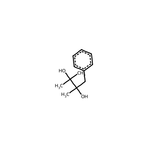 CC(C)(O)C(C)(O)Cc1ccccc1